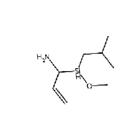 C=CC(N)[SiH](CC(C)C)OC